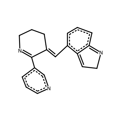 C(=C1CCCN=C1c1cccnc1)c1cccc2c1=CCN=2